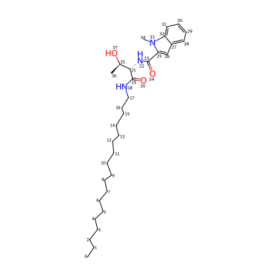 CCCCCCCCCCCCCCCCCCNC(=O)[C@@H](NC(=O)c1cc2ccccc2n1C)[C@@H](C)O